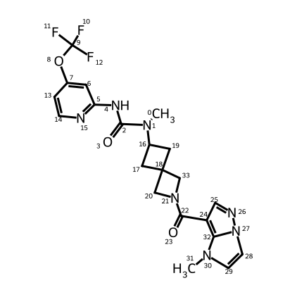 CN(C(=O)Nc1cc(OC(F)(F)F)ccn1)C1CC2(C1)CN(C(=O)c1cnn3ccn(C)c13)C2